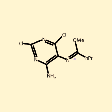 CCC/C(=N/c1c(N)nc(Cl)nc1Cl)OC